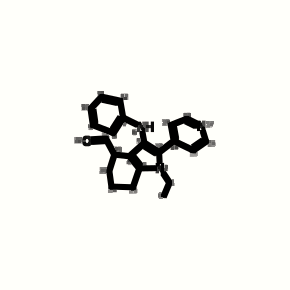 CCn1c2c(c(Nc3ccccc3)c1-c1ccncc1)C(C=O)CCC2